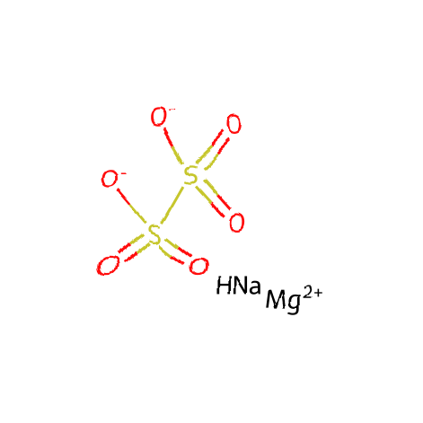 O=S(=O)([O-])S(=O)(=O)[O-].[Mg+2].[NaH]